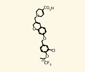 C[C@H](Oc1ccc(COc2ccc3c(c2)OCC(CN2CC=C(C(=O)O)CC2)=C3)cc1Cl)C(F)(F)F